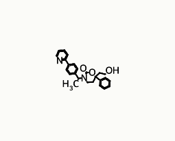 C[C@@H](c1ccc(-c2ccccn2)cc1)N1CCC(CCO)(c2ccccc2)OC1=O